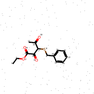 CCOC(=O)C(=O)C(SCc1ccccc1)C(C)=O